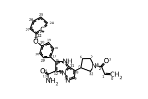 C=CC(=O)N1CCC(c2cnn3c(C(N)=O)c(-c4ccc(Oc5ccccc5)cc4)[nH]c23)C1